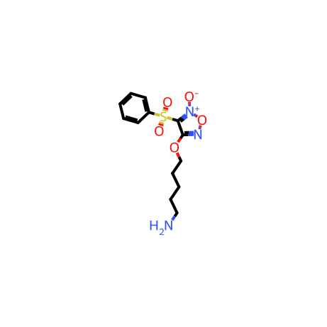 NCCCCCOc1no[n+]([O-])c1S(=O)(=O)c1ccccc1